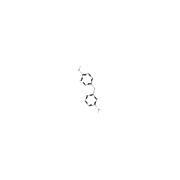 OCc1ccc(Cc2cccc(CO)c2)cc1